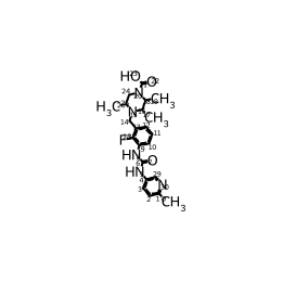 Cc1ccc(NC(=O)Nc2cccc(CN3[C@H](C)C(C)N(C(=O)O)C[C@@H]3C)c2F)cn1